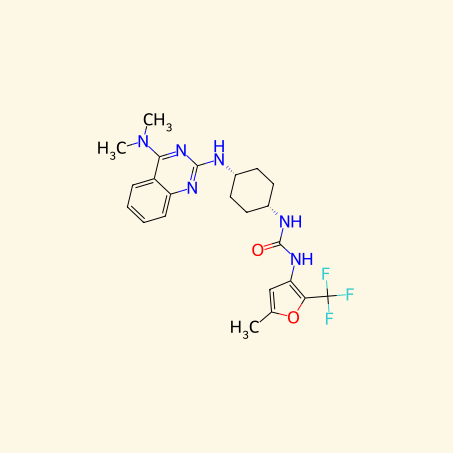 Cc1cc(NC(=O)N[C@H]2CC[C@@H](Nc3nc(N(C)C)c4ccccc4n3)CC2)c(C(F)(F)F)o1